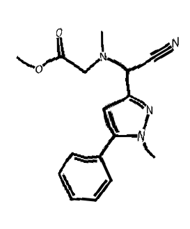 COC(=O)CN(C)C(C#N)c1cc(-c2ccccc2)n(C)n1